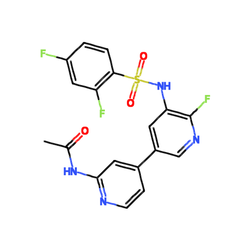 CC(=O)Nc1cc(-c2cnc(F)c(NS(=O)(=O)c3ccc(F)cc3F)c2)ccn1